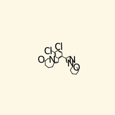 O=C1CCCc2cc3c(-c4cnn(C5CCCCO5)c4)cc(Cl)c(Cl)c3n2C1